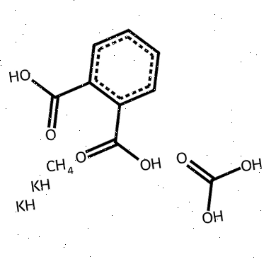 C.O=C(O)O.O=C(O)c1ccccc1C(=O)O.[KH].[KH]